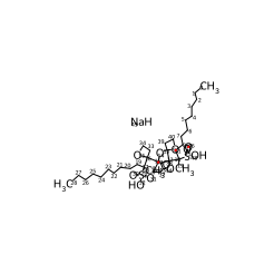 CCCCCCCCCCC(C)(C1(C2(OC3(C4(C(C)(CCCCCCCCCC)S(=O)(=O)O)CCO4)CCO3)CCO2)CCO1)S(=O)(=O)O.[NaH]